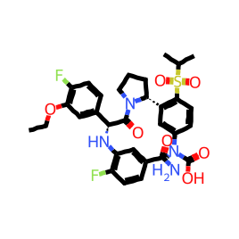 CCOc1cc([C@@H](Nc2cc(C(N)=O)ccc2F)C(=O)N2CCC[C@@H]2c2cc(N(C)C(=O)O)ccc2S(=O)(=O)C(C)C)ccc1F